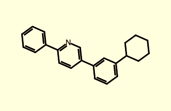 c1ccc(-c2ccc(-c3cccc(C4CCCCC4)c3)cn2)cc1